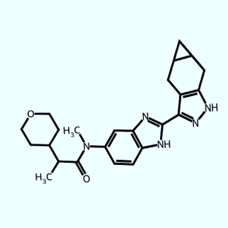 CC(C(=O)N(C)c1ccc2[nH]c(-c3n[nH]c4c3CC3CC3C4)nc2c1)C1CCOCC1